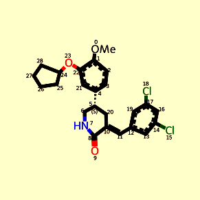 COc1ccc([C@H]2CNC(=O)C(=Cc3cc(Cl)cc(Cl)c3)C2)cc1OC1CCCC1